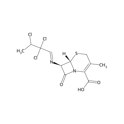 CC1=C(C(=O)O)N2C(=O)[C@@H](N=CC(Cl)(Cl)C(C)Cl)[C@@H]2SC1